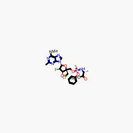 CNc1nc(C)nc2c1ncn2[C@@H]1O[C@](CCl)(COP(=S)(N[C@H](C)C(=O)OC)Oc2ccccc2)[C@@H](O)[C@H]1F